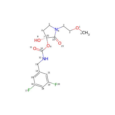 COCCN1CC[C@](O)(OC(=O)NCc2cc(F)cc(F)c2)C1=O